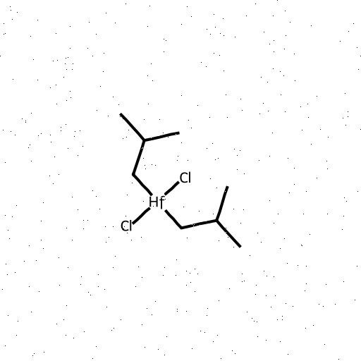 CC(C)[CH2][Hf]([Cl])([Cl])[CH2]C(C)C